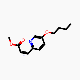 CCCCOc1ccc(/C=C\C(=O)OC)nc1